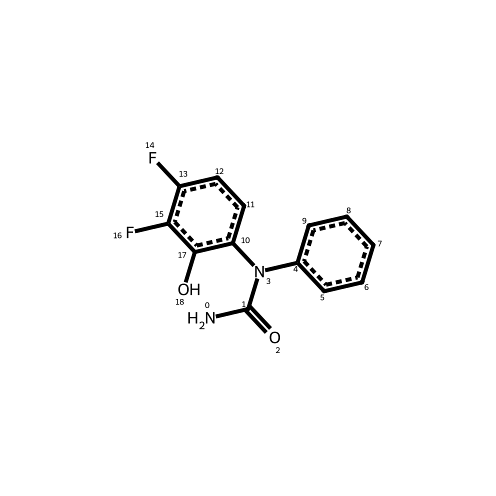 NC(=O)N(c1ccccc1)c1ccc(F)c(F)c1O